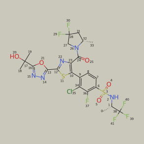 C[C@H](NS(=O)(=O)c1ccc(-c2sc(-c3nnc(C(C)(C)O)o3)nc2C(=O)N2CC(F)(F)C[C@@H]2C)c(Cl)c1F)C(F)(F)F